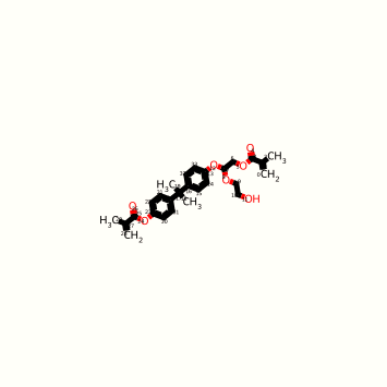 C=C(C)C(=O)OCC(OCCO)Oc1ccc(C(C)(C)c2ccc(OC(=O)C(=C)C)cc2)cc1